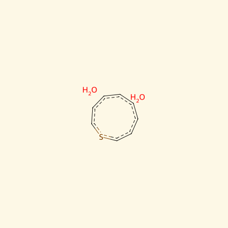 O.O.c1ccccsccc1